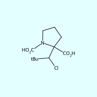 CC(C)(C)C(Cl)C1(C(=O)O)CCCN1C(=O)O